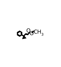 CCOC(=O)C=CC1(c2ccccc2)CC1